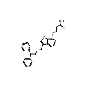 O=C(O)CCSc1cccc2c(CCOC(c3ccccc3)c3ccccc3)coc12